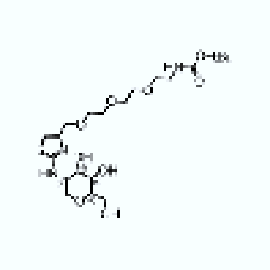 CC(C)(C)OC(=O)NCCOCCOCCOCc1csc(N[C@H]2CO[C@H](CO)[C@H](O)[C@@H]2O)n1